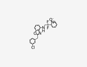 [O-][n+]1ccccc1C(F)(F)CNc1cccc2oc(Cc3cccc(Cl)c3)nc12